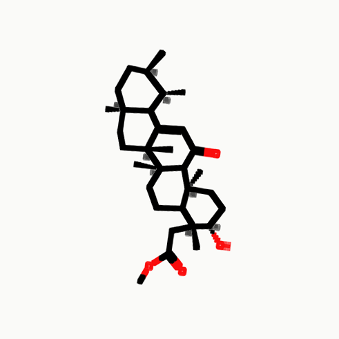 COC(=O)C[C@]1(C)C2CC[C@]3(C)C(C(=O)C=C4C5[C@@H](C)[C@H](C)CC[C@]5(C)CC[C@]43C)[C@@]2(C)CC[C@@H]1O